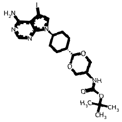 CC(C)(C)OC(=O)NC1COC([C@H]2CC[C@H](n3cc(I)c4c(N)ncnc43)CC2)OC1